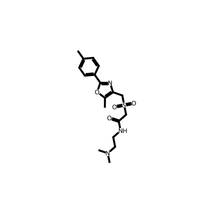 Cc1ccc(-c2nc(CS(=O)(=O)CC(=O)NCCN(C)C)c(C)o2)cc1